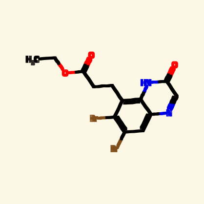 CCOC(=O)CCc1c(Br)c(Br)cc2ncc(=O)[nH]c12